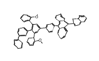 COC1=CC=CCC1c1cc(-c2ccc(-c3c4ccccc4c(C4=CC=C5C=CC=CC5C4)c4ccccc34)cc2)cc(-c2ccccc2OC)c1-c1cccc(C2=CCCC=C2)c1